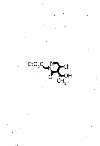 CCOC(=O)Cn1ncc(Cl)c([C@@H](C)O)c1=O